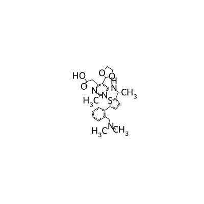 Cc1nc(CC(=O)O)c(C2OCCO2)c(NC(C)c2ccc(-c3ccccc3CN(C)C)s2)n1